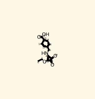 CCOc1c(NCc2ccc(C(=O)O)cc2)c(=O)c1=O